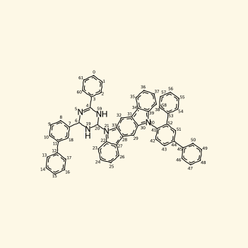 c1ccc(C2=NC(c3cccc(-c4ccccc4)c3)NC(n3c4ccccc4c4cc5c(cc43)c3ccccc3n5-c3ccc(-c4ccccc4)cc3-c3ccccc3)N2)cc1